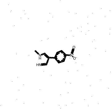 CN/C=C(\C=N)c1ccc([N+](=O)[O-])cc1